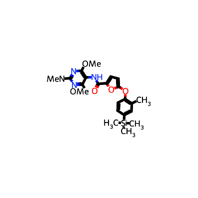 CNc1nc(OC)c(NC(=O)c2ccc(Oc3ccc([Si](C)(C)C)cc3C)o2)c(OC)n1